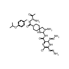 CC(=O)N(N)[C@@H](Cc1ccc(OC(C)C)cc1)C(=O)N1CCC2(CC1)CN(N)C(NC(=O)C1=NC(Cl)=C(N=NN)NC1N=NN)N2